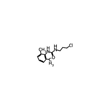 Cc1cccc(C)c1NC(=O)NCCCCl